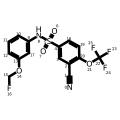 N#Cc1cc(S(=O)(=O)Nc2cccc(OCF)c2)ccc1OC(F)(F)F